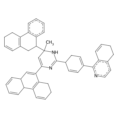 CC1(C2CC3=C(CCC=C3)c3ccccc32)C=C(C2=CC3C=CC=CC3C3=C2CCC=C3)N=C(C2C=CC(c3nccc4c3C=CCC4)=CC2)N1